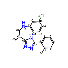 Cc1ccccc1-c1nnc2n1-c1ccc(Cl)cc1NC[C@@H]2C